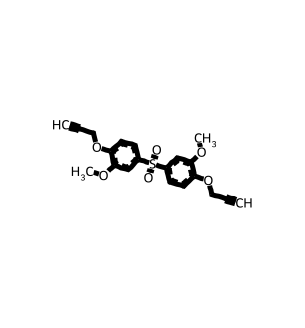 C#CCOc1ccc(S(=O)(=O)c2ccc(OCC#C)c(OC)c2)cc1OC